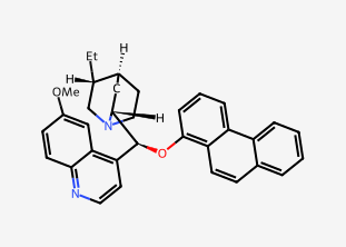 CC[C@H]1CN2CC[C@H]1C[C@@H]2[C@@H](Oc1cccc2c1ccc1ccccc12)c1ccnc2ccc(OC)cc12